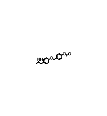 CC(N)Cc1ccc(OCc2ccc(OP=O)cc2)cc1